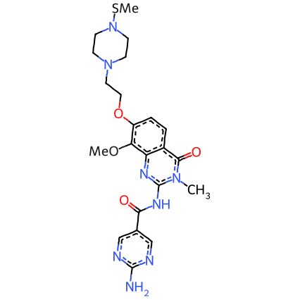 COc1c(OCCN2CCN(SC)CC2)ccc2c(=O)n(C)c(NC(=O)c3cnc(N)nc3)nc12